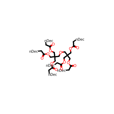 CCCCCCCCCCCC(=O)OCC(COCC(COC(=O)CCCCCCCCCCC)(COC(=O)CCCCCCCCCCC)COC(=O)CCCCCCCCCCC)(COC(=O)CCCCCCCCCCC)COC(=O)CCCCCCCCCCC